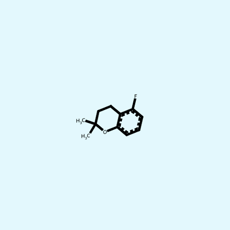 CC1(C)C[C]c2c(F)cccc2O1